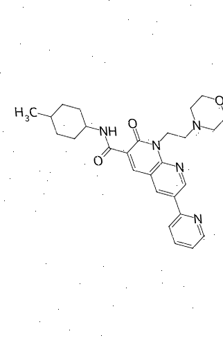 CC1CCC(NC(=O)c2cc3cc(-c4ccccn4)cnc3n(CCN3CCOCC3)c2=O)CC1